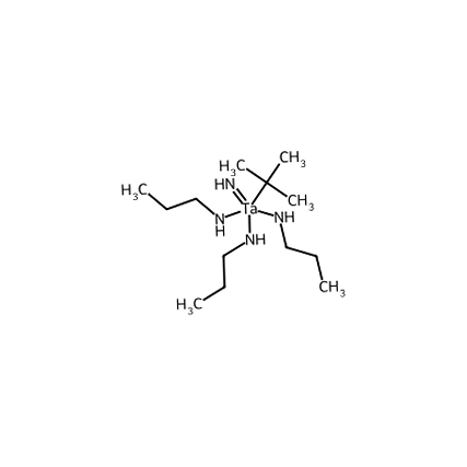 CCC[NH][Ta](=[NH])([NH]CCC)([NH]CCC)[C](C)(C)C